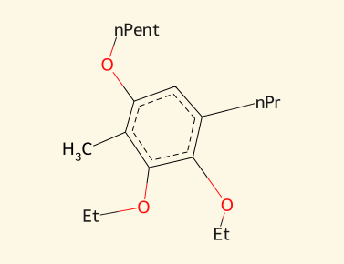 CCCCCOc1cc(CCC)c(OCC)c(OCC)c1C